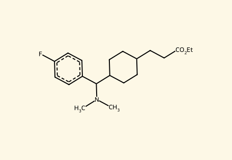 CCOC(=O)CCC1CCC(C(c2ccc(F)cc2)N(C)C)CC1